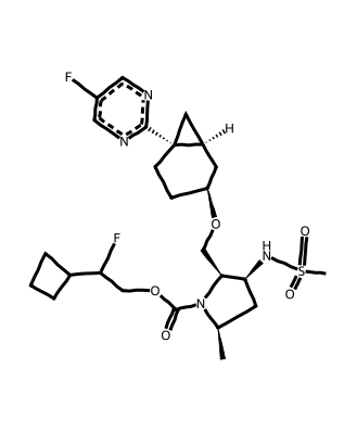 C[C@@H]1C[C@H](NS(C)(=O)=O)[C@H](CO[C@H]2CC[C@@]3(c4ncc(F)cn4)C[C@H]3C2)N1C(=O)OCC(F)C1CCC1